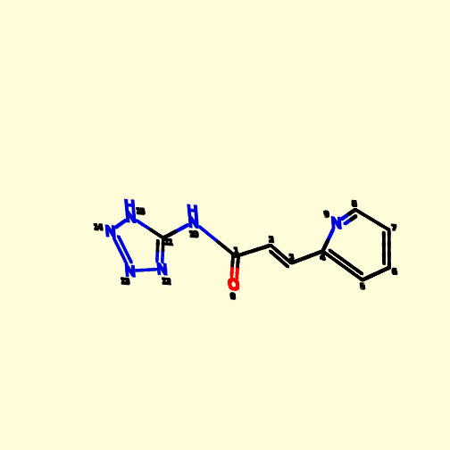 O=C(C=Cc1ccccn1)Nc1nnn[nH]1